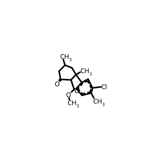 COC(=O)C1C(=O)CC(C)CC1(C)c1ccc(C)c(Cl)c1